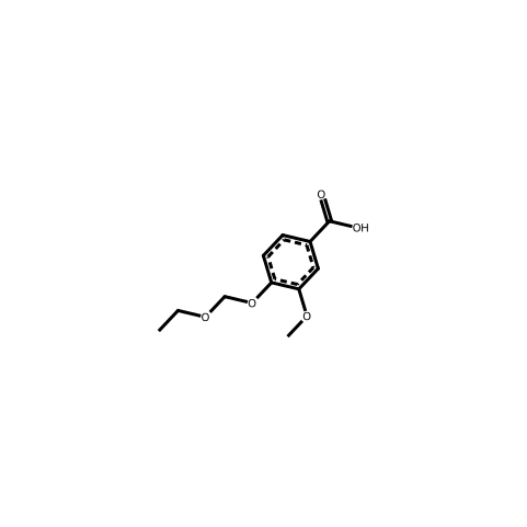 CCOCOc1ccc(C(=O)O)cc1OC